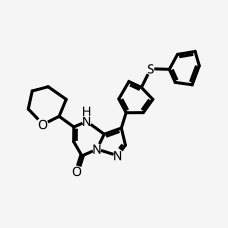 O=c1cc(C2CCCCO2)[nH]c2c(-c3ccc(Sc4ccccc4)cc3)cnn12